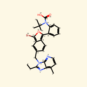 CCc1nc2c(C)ccnc2n1Cc1ccc2c(-c3ccccc3N(C(=O)O)C(C)(C)C)oc(Br)c2c1